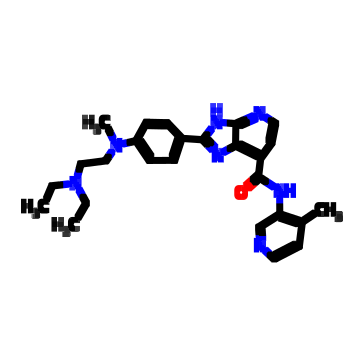 CCN(CC)CCN(C)c1ccc(-c2nc3c(C(=O)Nc4cnccc4C)ccnc3[nH]2)cc1